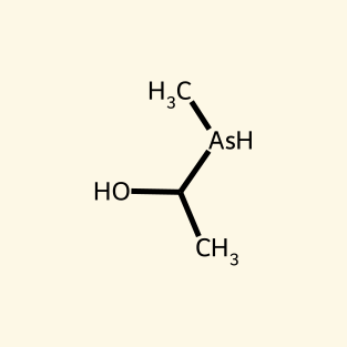 C[AsH]C(C)O